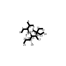 CCC(C(C)C)[N@@+](C)(CC(C)(CC)CC)C(CC)[C@H](C)CC